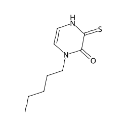 CCCCCn1cc[nH]c(=S)c1=O